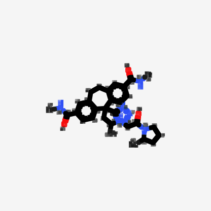 CCCC(CC1(c2nnn[nH]2)c2ccc(C(=O)NCC)cc2CCc2cc(C(=O)NCC)ccc21)NCC(=O)N1CCCC1C#N